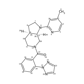 Cc1ccnc(N2CC[C@@H]3CCN(C(=O)c4ccccc4-n4nccn4)C[C@@H]32)c1